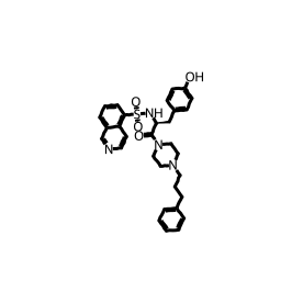 O=C([C@H](Cc1ccc(O)cc1)NS(=O)(=O)c1cccc2cnccc12)N1CCN(CCCc2ccccc2)CC1